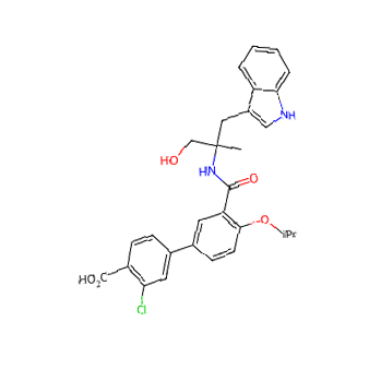 CC(C)Oc1ccc(-c2ccc(C(=O)O)c(Cl)c2)cc1C(=O)NC(C)(CO)Cc1c[nH]c2ccccc12